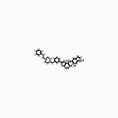 N#Cc1cnc2sc(-c3cccc(CN4CCN(CCc5ccccc5)CC4)c3)cc2c1Nc1ccc2[nH]ccc2c1